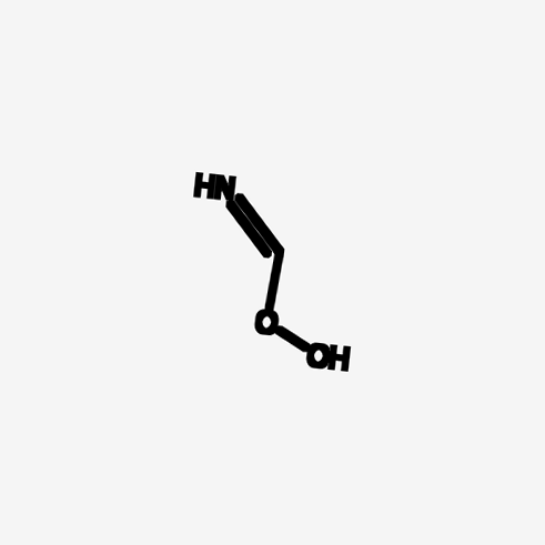 N=COO